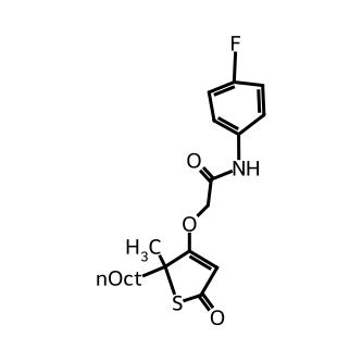 CCCCCCCCC1(C)SC(=O)C=C1OCC(=O)Nc1ccc(F)cc1